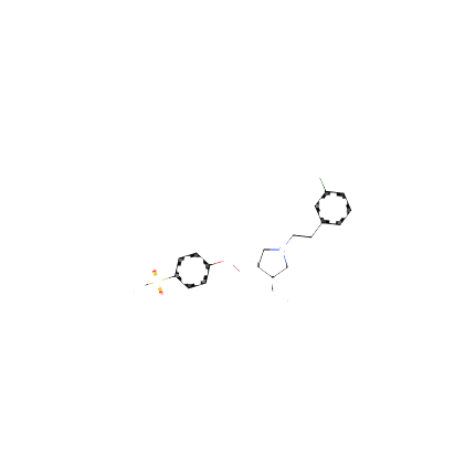 C[C@@H]1CN(CCc2cccc(Cl)c2)C[C@H]1COc1ccc(S(C)(=O)=O)cc1